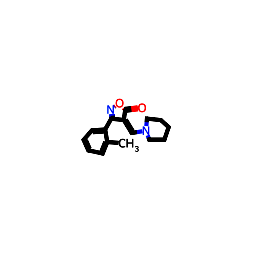 Cc1ccccc1C1=NOC(=O)C1=CN1CCCCC1